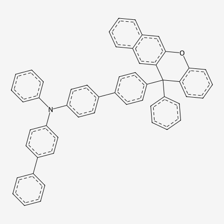 c1ccc(-c2ccc(N(c3ccccc3)c3ccc(-c4ccc(C5(c6ccccc6)c6ccccc6Oc6cc7ccccc7cc65)cc4)cc3)cc2)cc1